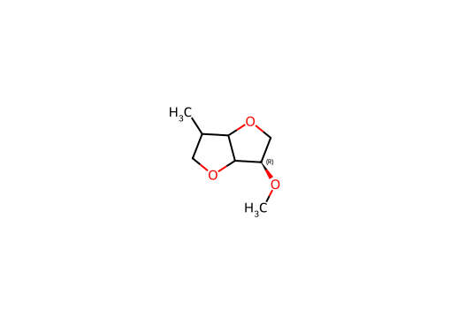 CO[C@@H]1COC2C(C)COC21